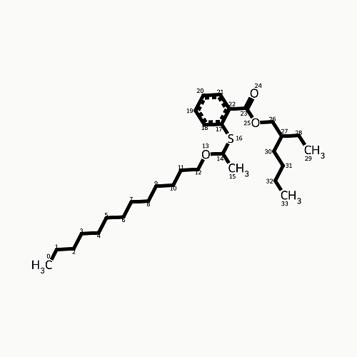 CCCCCCCCCCCCCOC(C)Sc1ccccc1C(=O)OCC(CC)CCCC